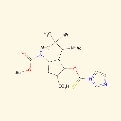 CCCC(C)(OC)C(NC(C)=O)C1C(NC(=O)OC(C)(C)C)CC(C(=O)O)C1OC(=S)n1ccnc1